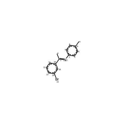 C/C(=N\c1ccc(C)cc1)c1cccc(Br)c1